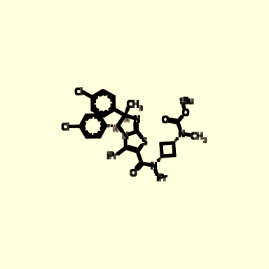 CC(C)C1=C(C(=O)N(C(C)C)[C@H]2C[C@@H](N(C)C(=O)OC(C)(C)C)C2)SC2=N[C@@](C)(c3ccc(Cl)cc3)[C@@H](c3ccc(Cl)cc3)N21